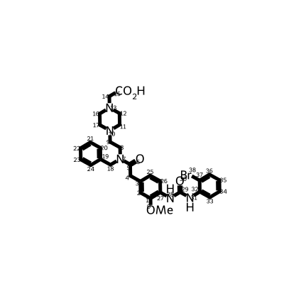 COc1cc(CC(=O)N(CCN2CCN(CC(=O)O)CC2)Cc2ccccc2)ccc1NC(=O)Nc1ccccc1Br